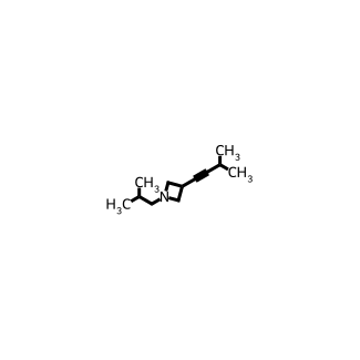 CC(C)C#CC1CN(CC(C)C)C1